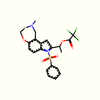 CC(OC(=O)C(F)(F)F)c1cc2c3c(ccc2n1S(=O)(=O)c1ccccc1)OCCN(C)C3